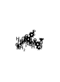 C[C@]1(C(=O)NCCOC(N)=O)COc2c1cc([C@@](O)(CNC(=O)c1cc(OC3CC3)c3ncccc3c1)C(F)(F)F)nc2-c1ccc(F)cc1